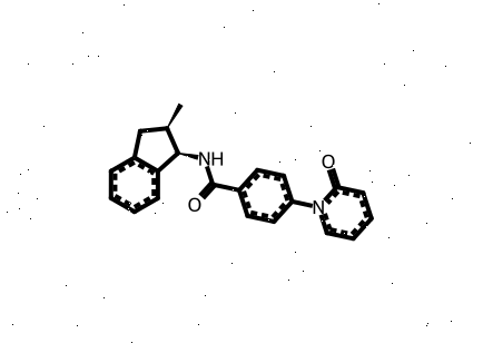 C[C@@H]1Cc2ccccc2[C@@H]1NC(=O)c1ccc(-n2ccccc2=O)cc1